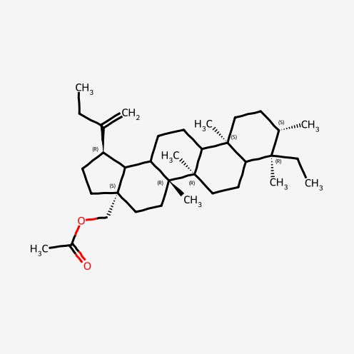 C=C(CC)[C@@H]1CC[C@]2(COC(C)=O)CC[C@]3(C)C(CCC4[C@@]5(C)CC[C@H](C)[C@@](C)(CC)C5CC[C@]43C)C12